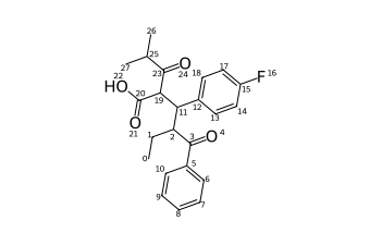 CCC(C(=O)c1ccccc1)C(c1ccc(F)cc1)C(C(=O)O)C(=O)C(C)C